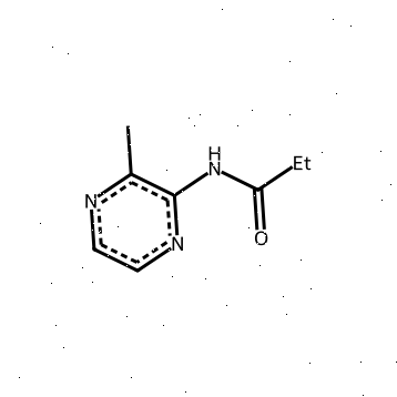 CCC(=O)Nc1nccnc1C